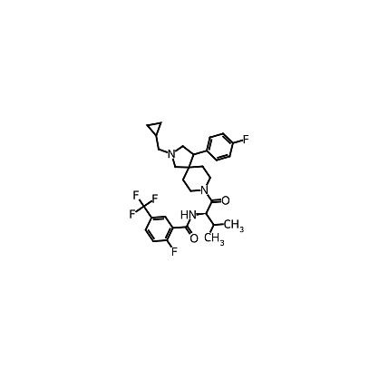 CC(C)[C@@H](NC(=O)c1cc(C(F)(F)F)ccc1F)C(=O)N1CCC2(CC1)CN(CC1CC1)CC2c1ccc(F)cc1